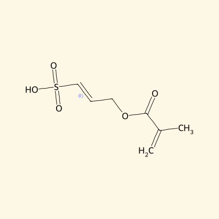 C=C(C)C(=O)OC/C=C/S(=O)(=O)O